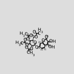 CC(=O)OC[C@H]1O[C@@H](Oc2ccc3c(O)c(O)c(=O)oc3c2)[C@H](OC(C)=O)[C@@H](OC(C)=O)[C@H]1OC(C)=O